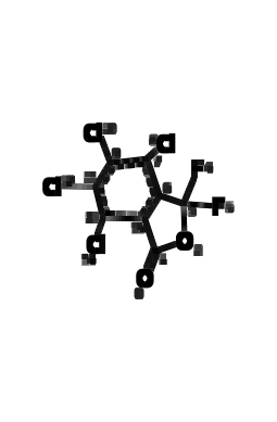 O=C1OC(F)(F)c2c(Cl)c(Cl)c(Cl)c(Cl)c21